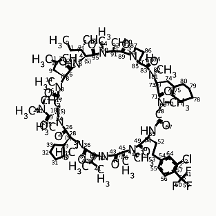 CC[C@H](C)[C@@H]1NC(=O)[C@H](CC(C)C)N(C)C(=O)C[C@@H](C(=O)N(C)C)N(C)C(=O)[C@H](C2CCCC2)N(C)C(=O)[C@H](C(C)C)NC(=O)[C@H](C)N(C)C(=O)[C@H](CCc2ccc(C(F)(F)F)c(Cl)c2)NC(=O)CN(C)C(=O)[C@H](CC2CCCCC2)N(C)C(=O)[C@@H]2CCN2C(=O)[C@H](C)N(C)C1=O